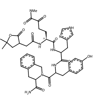 CNC(=O)C(=O)CC[C@H](NC(=O)CC1CC(C)(C)OC1=O)C(=O)NC(Cc1c[nH]cn1)C(=O)NC(Cc1ccc(O)cc1)C(=O)N1Cc2ccccc2CC1C(N)=O